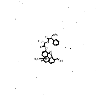 CC(=O)C[C@H](C(=O)O[C@@H](C)C(=O)OC1=CC[C@@]2(O)[C@H]3Cc4ccc(CO)c5c4[C@@]2(CCN3C)[C@H]1O5)c1ccccc1